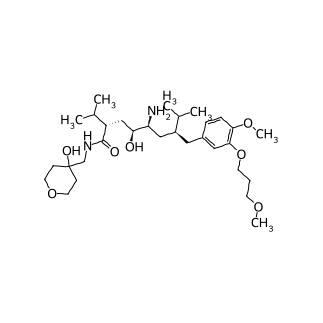 COCCCOc1cc(C[C@@H](C[C@H](N)[C@@H](O)C[C@H](C(=O)NCC2(O)CCOCC2)C(C)C)C(C)C)ccc1OC